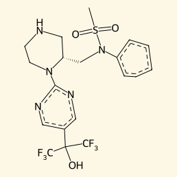 CS(=O)(=O)N(C[C@H]1CNCCN1c1ncc(C(O)(C(F)(F)F)C(F)(F)F)cn1)c1ccccc1